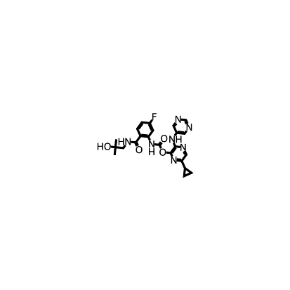 CC(C)(O)CNC(=O)c1ccc(F)cc1NC(=O)Oc1nc(C2CC2)cnc1Nc1cncnc1